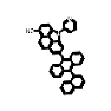 N#Cc1ccc2c3c1ccc1cc(-c4c5ccccc5c(-c5cccc6ccccc56)c5ccccc45)cc(c13)n2-c1cccnc1